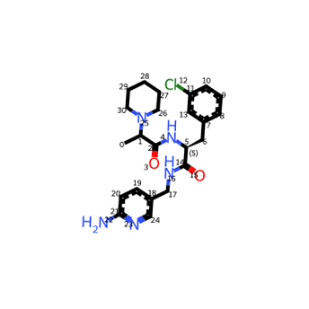 CC(C(=O)N[C@@H](Cc1cccc(Cl)c1)C(=O)NCc1ccc(N)nc1)N1CCCCC1